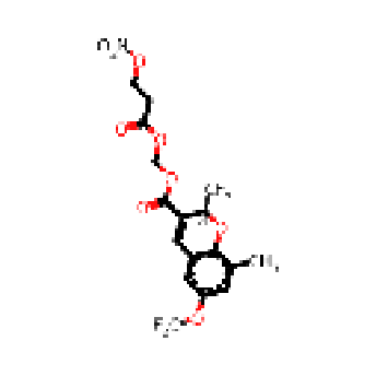 Cc1cc(OC(F)(F)F)cc2c1O[C@H](C(F)(F)F)C(C(=O)OCOC(=O)CCO[N+](=O)[O-])=C2